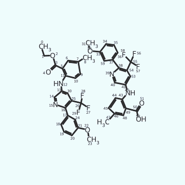 CCOC(=O)c1cc(C)ccc1Nc1cnc(-c2cccc(OC)c2)c(C(F)(F)F)c1.COc1cccc(-c2ncc(Nc3ccc(C)cc3C(=O)O)cc2C(F)(F)F)c1